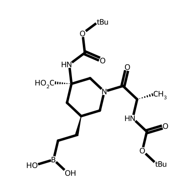 C[C@H](NC(=O)OC(C)(C)C)C(=O)N1C[C@@H](CCB(O)O)C[C@](NC(=O)OC(C)(C)C)(C(=O)O)C1